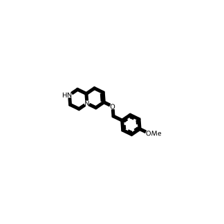 COc1ccc(COC2=CCC3CNCCN3C2)cc1